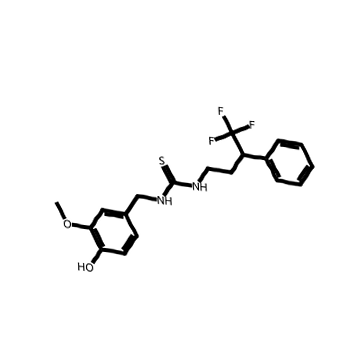 COc1cc(CNC(=S)NCCC(c2ccccc2)C(F)(F)F)ccc1O